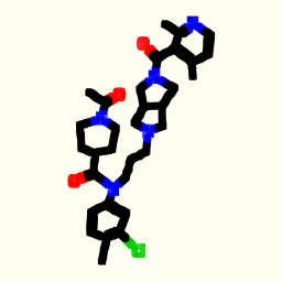 CC(=O)N1CCC(C(=O)N(CCCN2CC3CN(C(=O)c4c(C)ccnc4C)CC3C2)c2ccc(C)c(Cl)c2)CC1